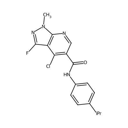 CC(C)c1ccc(NC(=O)c2cnc3c(c(F)nn3C)c2Cl)cc1